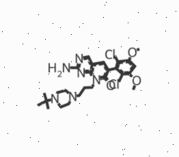 COc1cc(OC)c(Cl)c(-c2cc3cnc(N)nc3n(CCCN3CCN(C(C)(C)C)CC3)c2=O)c1Cl